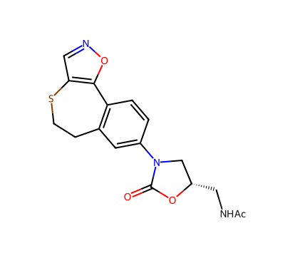 CC(=O)NC[C@H]1CN(c2ccc3c(c2)CCSc2cnoc2-3)C(=O)O1